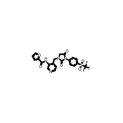 O=C(Nc1cnccc1CN1CC(=O)N(c2ccc(S(=O)(=O)C(F)(F)F)cc2)C1=O)c1ccco1